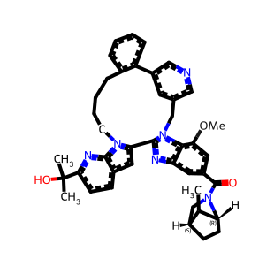 COc1cc(C(=O)N2C[C@H]3CC[C@@H]2C3C)cc2nc3n(c12)Cc1cncc(c1)-c1ccccc1CCCCn1c-3cc2ccc(C(C)(C)O)nc21